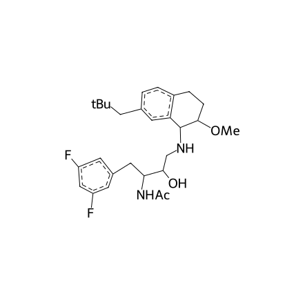 COC1CCc2ccc(CC(C)(C)C)cc2C1NCC(O)C(Cc1cc(F)cc(F)c1)NC(C)=O